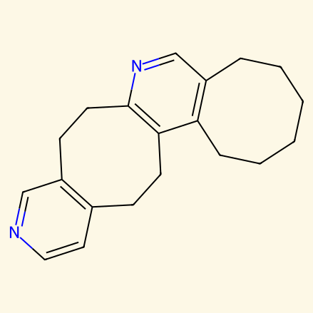 c1cc2c(cn1)CCc1ncc3c(c1CC2)CCCCCC3